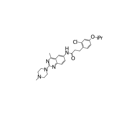 Cc1nc(N2CCN(C)CC2)nc2ccc(NC(=O)CCc3ccc(OC(C)C)cc3Cl)cc12